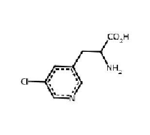 NC(Cc1cncc(Cl)c1)C(=O)O